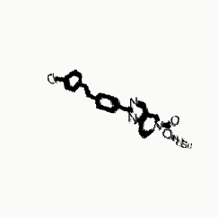 CC(C)(C)OC(=O)N1CCc2nc(C3=CCC(/C=C/c4ccc(Cl)cc4)C=C3)ncc2C1